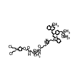 CC[N+](C)(CC)Cc1ccc(C(=C\c2cc[n+](C)c3ccccc23)/C=C2\Sc3ccccc3N2CCc2cn(CCCC(=O)NCC[N+](C)(C)CCNC(=O)COc3ccc(N(CCCl)CCCl)cc3)nn2)cc1